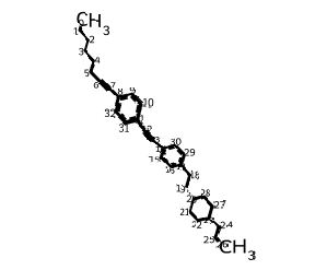 CCCCCCC#Cc1ccc(C#Cc2ccc(CC[C@H]3CC[C@H](CCC)CC3)cc2)cc1